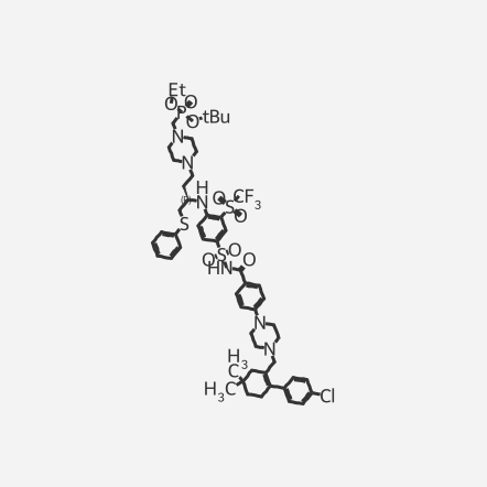 CCOP(=O)(CN1CCN(CC[C@H](CSc2ccccc2)Nc2ccc(S(=O)(=O)NC(=O)c3ccc(N4CCN(CC5=C(c6ccc(Cl)cc6)CCC(C)(C)C5)CC4)cc3)cc2S(=O)(=O)C(F)(F)F)CC1)OC(C)(C)C